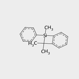 CC1(C)c2ccccc2[Si]1(C)c1ccccc1